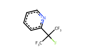 FC(F)(F)C(F)(c1ccc[c]n1)C(F)(F)F